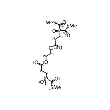 CSC(=O)[PH](=O)CCC(=O)OCCOC(=O)CCP(=O)(C(=O)SC)C(=O)SC